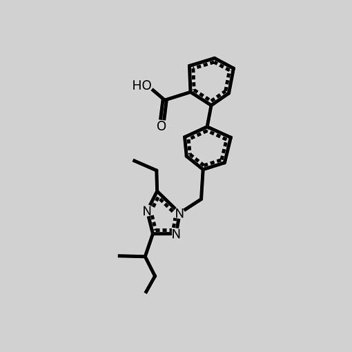 CCc1nc(C(C)CC)nn1Cc1ccc(-c2ccccc2C(=O)O)cc1